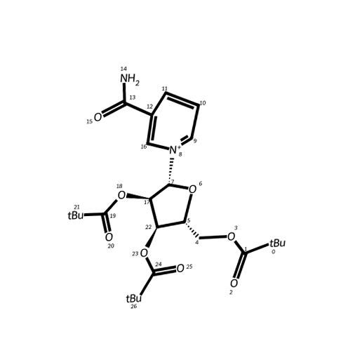 CC(C)(C)C(=O)OC[C@H]1O[C@@H]([n+]2cccc(C(N)=O)c2)[C@H](OC(=O)C(C)(C)C)[C@@H]1OC(=O)C(C)(C)C